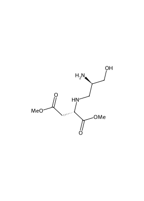 COC(=O)C[C@H](NC[C@@H](N)CO)C(=O)OC